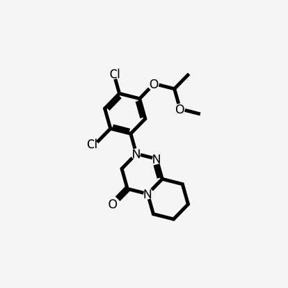 COC(C)Oc1cc(N2CC(=O)N3CCCCC3=N2)c(Cl)cc1Cl